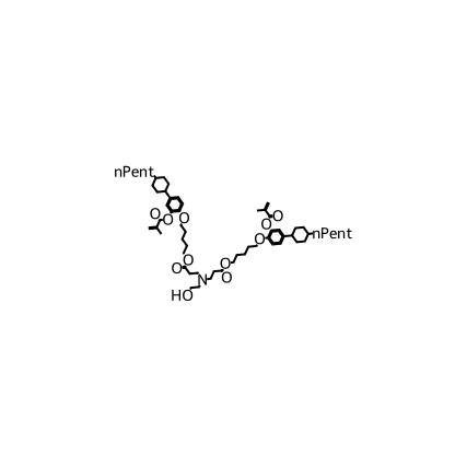 C=C(C)C(=O)Oc1cc(C2CCC(CCCCC)CC2)ccc1OCCCCCOC(=O)CCN(CCO)CCC(=O)OCCCCCOc1ccc(C2CCC(CCCCC)CC2)cc1OC(=O)C(=C)C